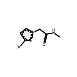 O=C(Cn1ccc(Br)n1)NI